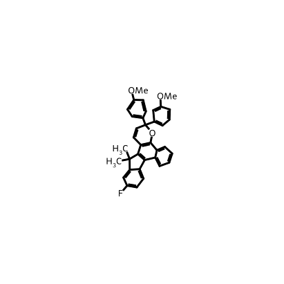 COc1ccc(C2(c3cccc(OC)c3)C=Cc3c4c(c5ccccc5c3O2)-c2ccc(F)cc2C4(C)C)cc1